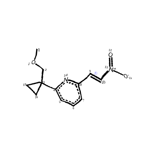 COCC1(c2cccc(/C=C/[N+](=O)[O-])n2)CC1